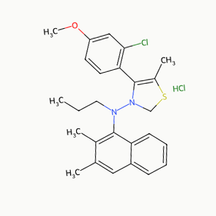 CCCN(c1c(C)c(C)cc2ccccc12)N1CSC(C)=C1c1ccc(OC)cc1Cl.Cl